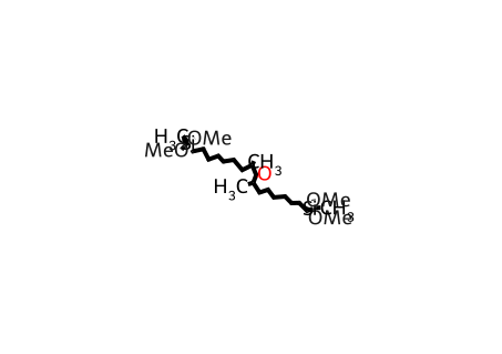 CO[Si](C)(CCCCCCCC(C)C(=O)C(C)CCCCCCC[Si](C)(OC)OC)OC